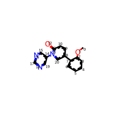 COc1ccccc1-c1ccc(=O)n(-c2cncnc2)c1